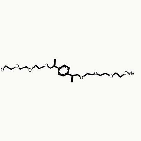 C=C(COCCOCCOCCOC)c1ccc(C(=C)COCCOCCOCCOC)cc1